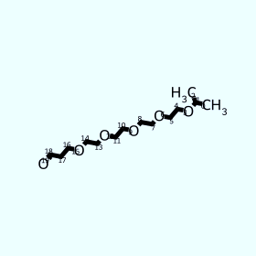 CC(C)OCCOCCOCCOCCOCCC=O